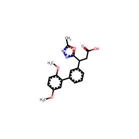 COc1ccc(OC)c(-c2cccc(C(CC(=O)O)c3nnc(C)o3)c2)c1